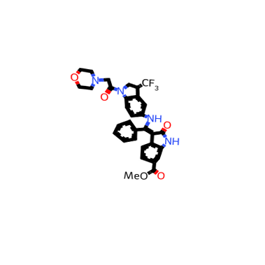 COC(=O)c1ccc2c(c1)NC(=O)/C2=C(\Nc1ccc2c(c1)C(C(F)(F)F)CN2C(=O)CN1CCOCC1)c1ccccc1